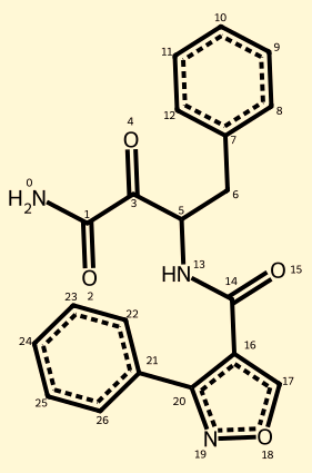 NC(=O)C(=O)C(Cc1ccccc1)NC(=O)c1conc1-c1ccccc1